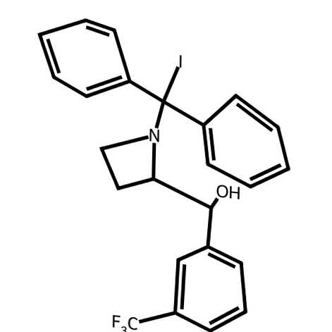 OC(c1cccc(C(F)(F)F)c1)C1CCN1C(I)(c1ccccc1)c1ccccc1